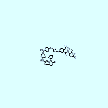 CN(C(=O)c1cc(CN2CC(Oc3ccc([S+]([O-])N4CCC(Nc5ncc6ccc(=O)n(C7CCCC7)c6n5)CC4)cc3)C2)ccc1C=O)C1CCC(=O)NC1=O